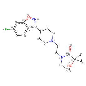 CCN(CCN1CCC(c2noc3cc(F)ccc23)CC1)C(=O)C1(O)CC1